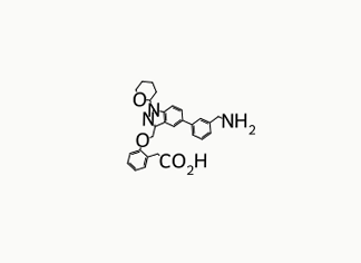 NCc1cccc(-c2ccc3c(c2)c(COc2ccccc2CC(=O)O)nn3C2CCCCO2)c1